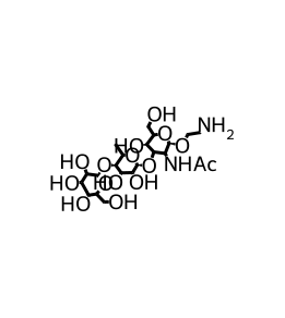 CC(=O)NC1C(O[C@@H]2OC(C)[C@H](O[C@H]3OC(CO)[C@@H](O)C(O)C3O)C(O)C2O)[C@H](O)C(CO)O[C@H]1OCCN